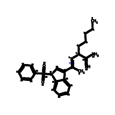 CCCCCN(/N=C(\C)c1cn(S(=O)(=O)c2ccccc2)c2ccccc12)C(=N)N